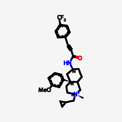 COc1cccc([C@@]23CC[N@+](C)(CC4CC4)CC2CC[C@H](NC(=O)C#Cc2ccc(C(F)(F)F)cc2)C3)c1